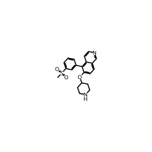 CS(=O)(=O)c1cccc(-c2c(OC3CCNCC3)ccc3cnccc23)c1